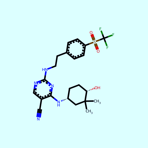 CC1(C)C[C@H](Nc2nc(NCCc3ccc(S(=O)(=O)C(F)(F)F)cc3)ncc2C#N)CC[C@@H]1O